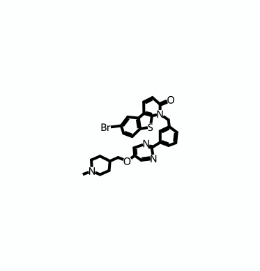 CN1CCC(COc2cnc(-c3cccc(Cn4c(=O)ccc5c6cc(Br)ccc6sc54)c3)nc2)CC1